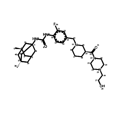 C[C@]12CC3CC(NC(=O)Nc4ccc(CN5CCC[C@H](C(=O)N6CCN(CCO)CC6)C5)cc4F)(C1)C[C@@](C)(C3)C2